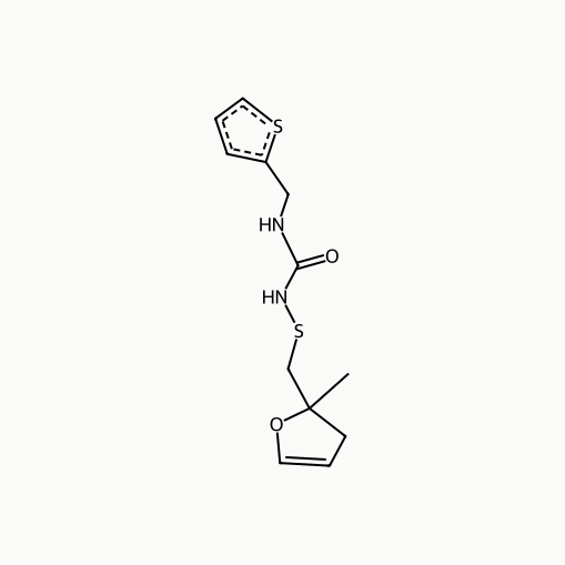 CC1(CSNC(=O)NCc2cccs2)CC=CO1